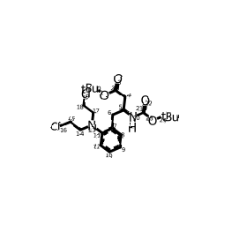 CC(C)(C)OC(=O)CC(Cc1ccccc1N(CCCl)CCCl)NC(=O)OC(C)(C)C